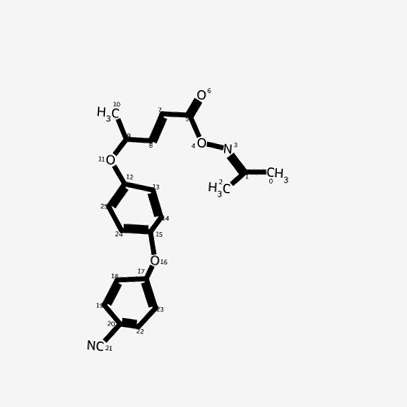 CC(C)=NOC(=O)C=CC(C)Oc1ccc(Oc2ccc(C#N)cc2)cc1